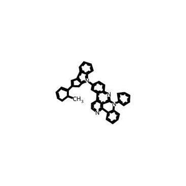 CC1CC=CC=C1C1=Cc2c(n(-c3ccc4nc5c6c(nccc6c4c3)-c3ccccc3N5c3ccccc3)c3ccccc23)C1